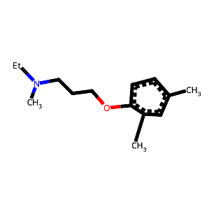 CCN(C)CCCOc1ccc(C)cc1C